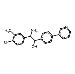 Cc1cc(C(N)C(O)c2ccc(-c3cccnc3)cc2)ccc1Cl